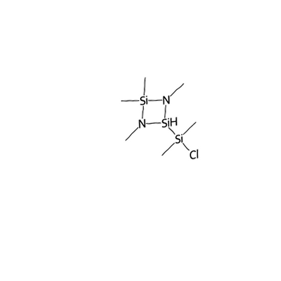 CN1[SiH]([Si](C)(C)Cl)N(C)[Si]1(C)C